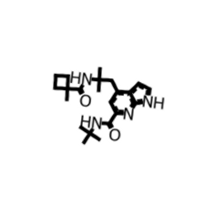 CC(C)(C)NC(=O)c1cc(CC(C)(C)NC(=O)C2(C)CCC2)c2cc[nH]c2n1